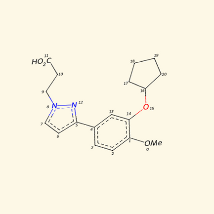 COc1ccc(-c2ccn(CCC(=O)O)n2)cc1OC1CCCC1